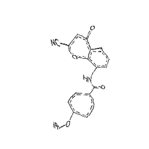 CC(C)Oc1ccc(C(=O)Nc2cccc3c(=O)cc(C#N)oc23)cc1